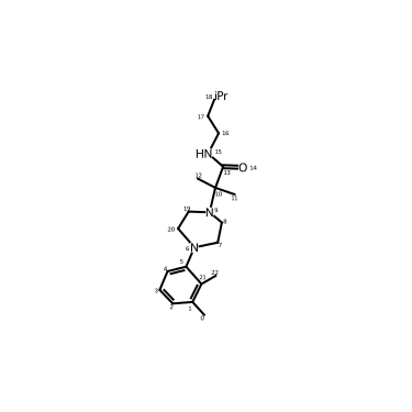 Cc1cccc(N2CCN(C(C)(C)C(=O)NCCC(C)C)CC2)c1C